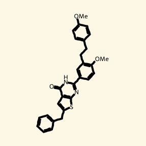 COc1ccc(CCc2cc(-c3nc4sc(Cc5ccccc5)cc4c(=O)[nH]3)ccc2OC)cc1